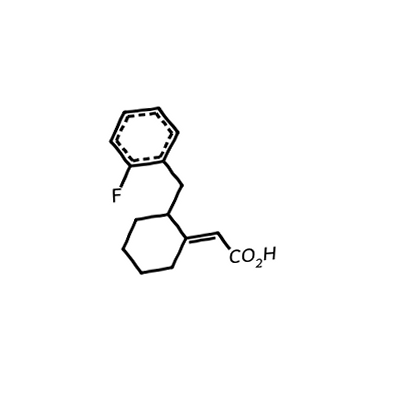 O=C(O)/C=C1\CCCCC1Cc1ccccc1F